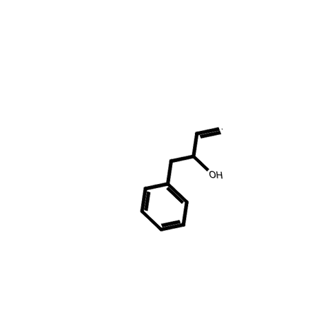 [CH]=CC(O)Cc1ccccc1